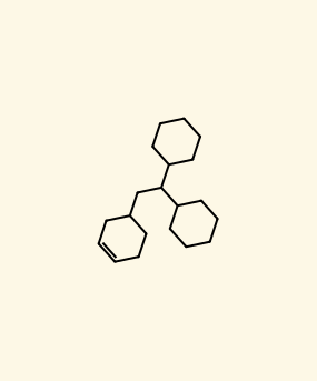 C1=CCC(CC(C2CCCCC2)C2CCCCC2)CC1